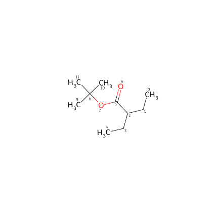 CCC(CC)C(=O)OC(C)(C)C